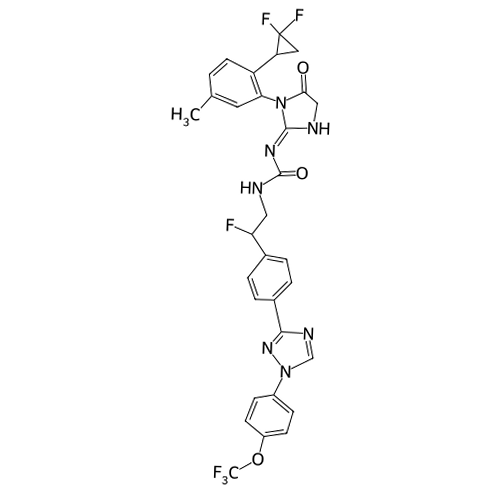 Cc1ccc(C2CC2(F)F)c(N2C(=O)CN/C2=N\C(=O)NCC(F)c2ccc(-c3ncn(-c4ccc(OC(F)(F)F)cc4)n3)cc2)c1